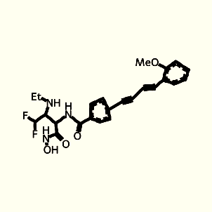 CCNC(C(F)F)C(NC(=O)c1ccc(C#CC#Cc2ccccc2OC)cc1)C(=O)NO